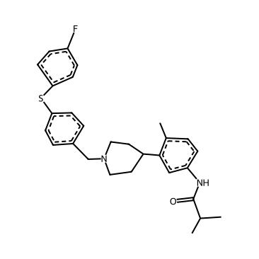 Cc1ccc(NC(=O)C(C)C)cc1C1CCN(Cc2ccc(Sc3ccc(F)cc3)cc2)CC1